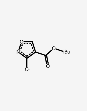 CCC(C)OC(=O)c1conc1[O]